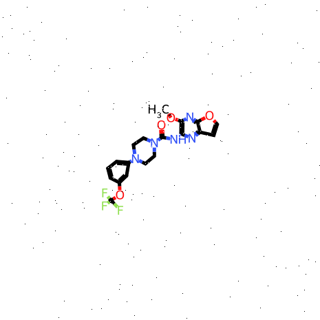 COc1nc2occc2nc1NC(=O)N1CCN(c2cccc(OC(F)(F)F)c2)CC1